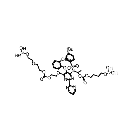 COc1ccccc1Oc1c(OCCOC(=O)OCCOCCON(O)O)nc(-c2ncccn2)nc1N(C(C)OC(=O)OCCCCON(O)O)S(=O)(=O)c1ccc(C(C)(C)C)cc1